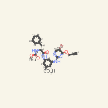 C#CCOc1nc(Nc2cc(NC(=O)[C@@H](Cc3ccccc3)NC(=O)OC(C)(C)C)cc(C(=O)O)c2)ncc1Br